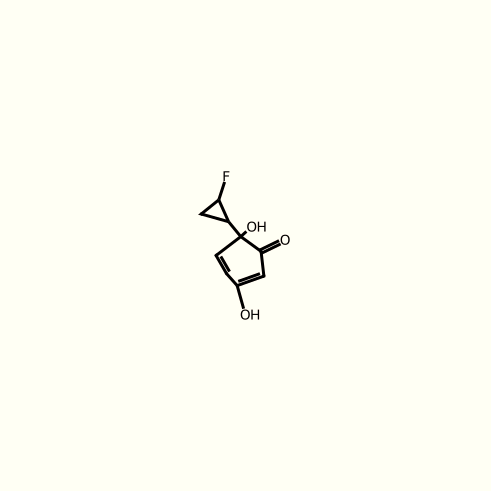 O=C1C=C(O)C=CC1(O)C1CC1F